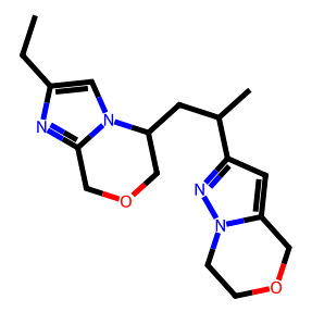 CCc1cn2c(n1)COCC2CC(C)c1cc2n(n1)CCOC2